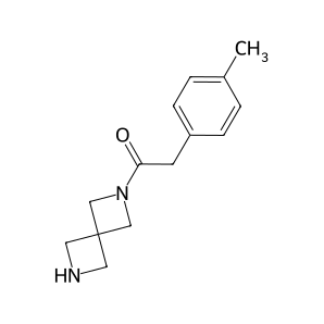 Cc1ccc(CC(=O)N2CC3(CNC3)C2)cc1